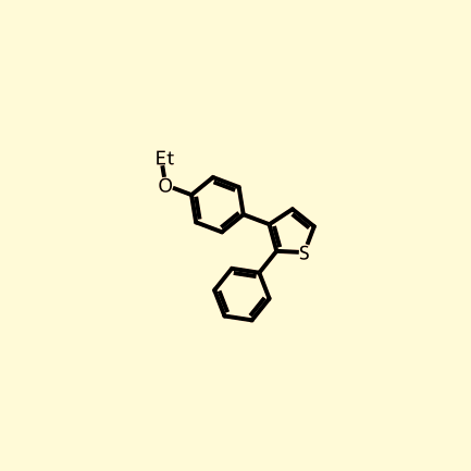 CCOc1ccc(-c2ccsc2-c2ccccc2)cc1